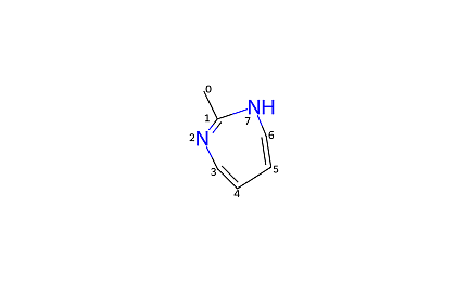 CC1=NC=CC=CN1